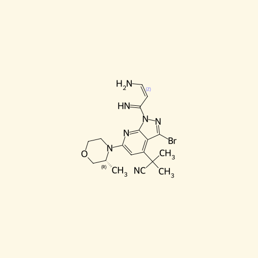 C[C@@H]1COCCN1c1cc(C(C)(C)C#N)c2c(Br)nn(C(=N)/C=C\N)c2n1